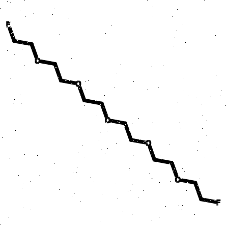 FCCOCCOCCOCCOCCOCCF